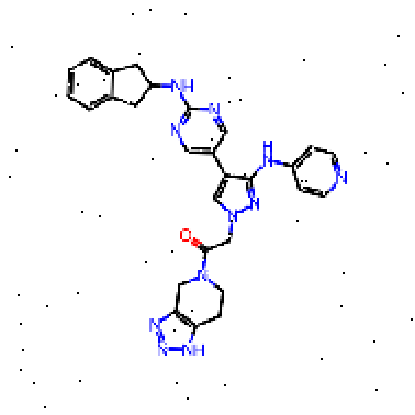 O=C(Cn1cc(-c2cnc(NC3Cc4ccccc4C3)nc2)c(Nc2ccncc2)n1)N1CCc2[nH]nnc2C1